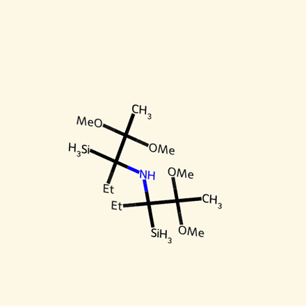 CCC([SiH3])(NC([SiH3])(CC)C(C)(OC)OC)C(C)(OC)OC